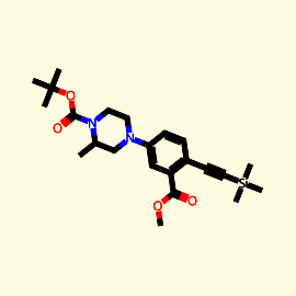 COC(=O)c1cc(N2CCN(C(=O)OC(C)(C)C)C(C)C2)ccc1C#C[Si](C)(C)C